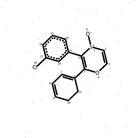 [O-][S+]1C=COC(C2=CC=CCC2)=C1c1cccc(Cl)c1